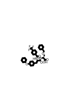 O=C(N[C@@H](COCc1ccccc1)C(=O)O)C(=Cc1ccc(Oc2ccccc2)cc1)NC(=O)c1ccc(C(F)(F)F)cc1